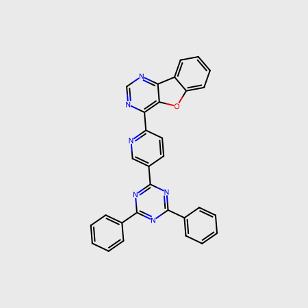 c1ccc(-c2nc(-c3ccccc3)nc(-c3ccc(-c4ncnc5c4oc4ccccc45)nc3)n2)cc1